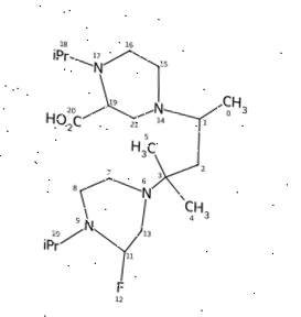 CC(CC(C)(C)N1CCN(C(C)C)C(F)C1)N1CCN(C(C)C)C(C(=O)O)C1